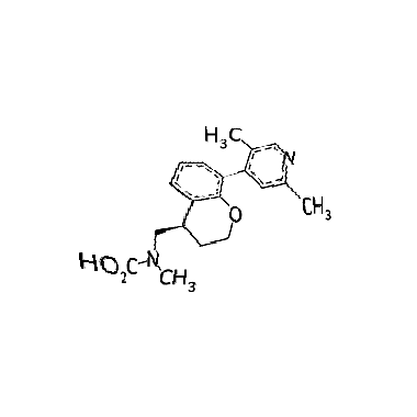 Cc1cc(-c2cccc3c2OCC[C@H]3CN(C)C(=O)O)c(C)cn1